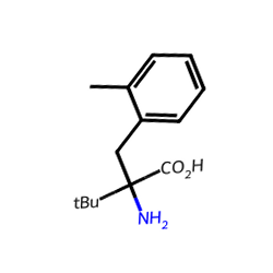 Cc1ccccc1CC(N)(C(=O)O)C(C)(C)C